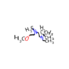 CCN(CCN(C)CCOC)C(C)(C)C